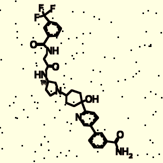 NC(=O)c1cccc(-c2ccc(C3(O)CCC(N4CC[C@@H](NC(=O)CNC(=O)c5cccc(C(F)(F)F)c5)C4)CC3)nc2)c1